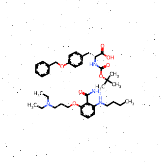 CC(C)(C)OC(=O)N[C@H](Cc1ccc(OCc2ccccc2)cc1)C(=O)O.CCCCNc1cccc(OCCCN(CC)CC)c1C(N)=O